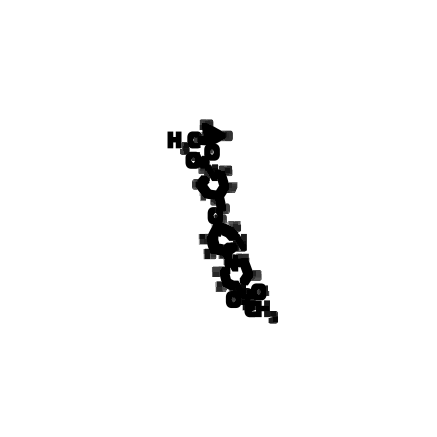 CC1(OC(=O)N2CCC(COc3ccc(N4CCN(S(C)(=O)=O)CC4)nc3)CC2)CC1